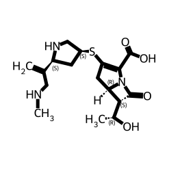 C=C(CNC)[C@@H]1C[C@H](SC2=C(C(=O)O)N3C(=O)[C@H]([C@@H](C)O)[C@H]3C2)CN1